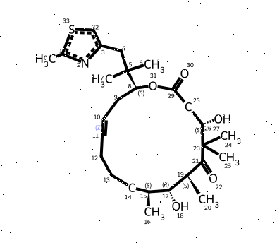 Cc1nc(CC(C)(C)[C@@H]2C/C=C\CCC[C@H](C)[C@@H](O)[C@H](C)C(=O)C(C)(C)[C@@H](O)CC(=O)O2)cs1